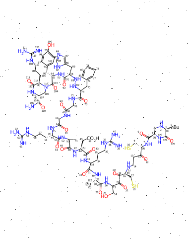 CCCC[C@@H]1NC[C@H](C(=O)N[C@@H](CS)C(=O)CCN[C@@H](CS)C(=O)C(=O)C(CO)NC(=O)[C@@H](NC(=O)C(CCCNC(=N)N)NC(=O)[C@H](CC(=O)O)NC(=O)C(C)NC(=O)[C@H](CCCNC(=N)N)NC(=O)CNC(=O)CNC(=O)C(Cc2ccccc2)NNC(Cc2cnc[nH]2)C(=O)N[C@@H](Cc2ccc(O)cc2)C(=O)N2C[C@H](C(N)=O)NC(=O)[C@H]2CCCNC(=N)N)[C@@H](C)CC)NC1=O